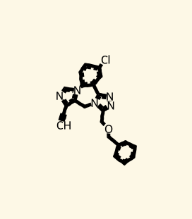 C#Cc1ncn2c1Cn1c(COCc3ccccc3)nnc1-c1cc(Cl)ccc1-2